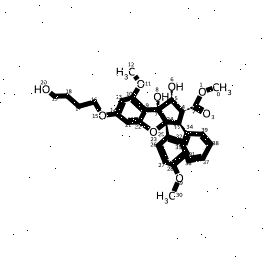 COC(=O)[C@H]1[C@@H](O)[C@@]2(O)c3c(OC)cc(OCCCCO)cc3O[C@@]2(c2ccc(OC)cc2)[C@@H]1c1ccccc1